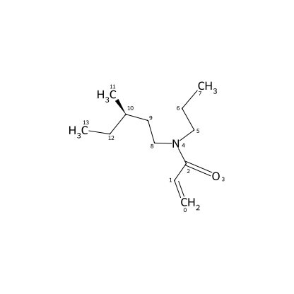 C=CC(=O)N(CCC)CC[C@H](C)CC